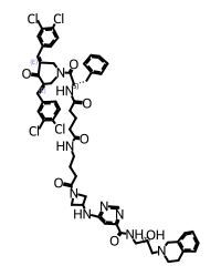 O=C(CCCC(=O)N[C@@H](Cc1ccccc1)C(=O)N1C/C(=C\c2ccc(Cl)c(Cl)c2)C(=O)/C(=C/c2ccc(Cl)c(Cl)c2)C1)NCCCC(=O)N1CC(Nc2cc(C(=O)NC[C@H](O)CN3CCc4ccccc4C3)ncn2)C1